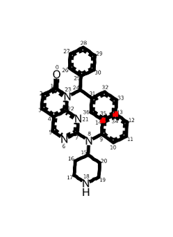 O=c1ccc2cnc(N(c3ccccc3)C3CCNCC3)nc2n1C(c1ccccc1)c1ccccc1